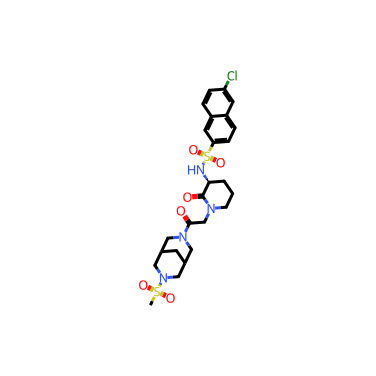 CS(=O)(=O)N1CC2CC(CN(C(=O)CN3CCC[C@H](NS(=O)(=O)c4ccc5cc(Cl)ccc5c4)C3=O)C2)C1